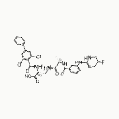 C[C@H](NC(=O)c1cccc(NC2=NCC(F)CN2)c1)C(=O)NC[C@@H](NC(=O)c1c(Cl)cc(-c2ccccc2)cc1Cl)C(=O)O